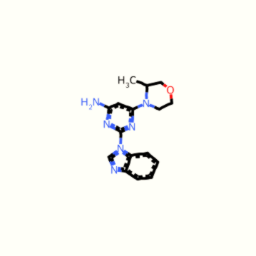 CC1COCCN1c1cc(N)nc(-n2cnc3ccccc32)n1